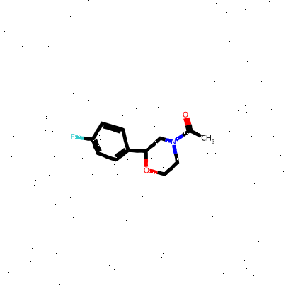 CC(=O)N1CCOC(c2ccc(F)cc2)C1